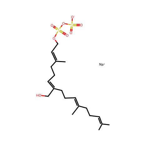 CC(C)=CCC/C(C)=C/CC/C(=C\CC/C(C)=C/COS(=O)(=O)OS(=O)(=O)[O-])CO.[Na+]